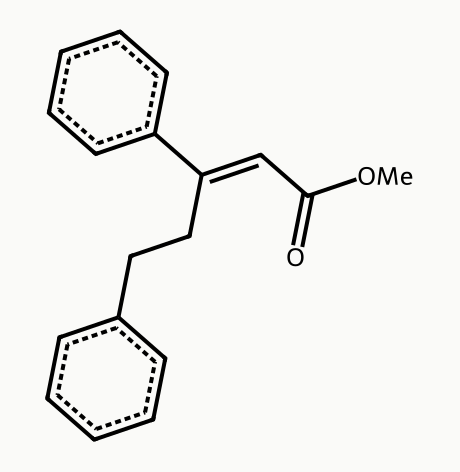 COC(=O)/C=C(\CCc1ccccc1)c1ccccc1